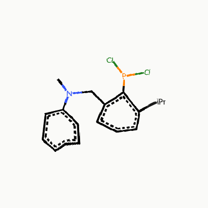 CC(C)c1cccc(CN(C)c2ccccc2)c1P(Cl)Cl